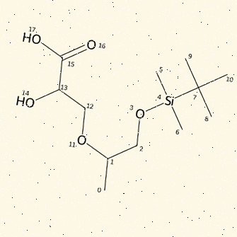 CC(CO[Si](C)(C)C(C)(C)C)OCC(O)C(=O)O